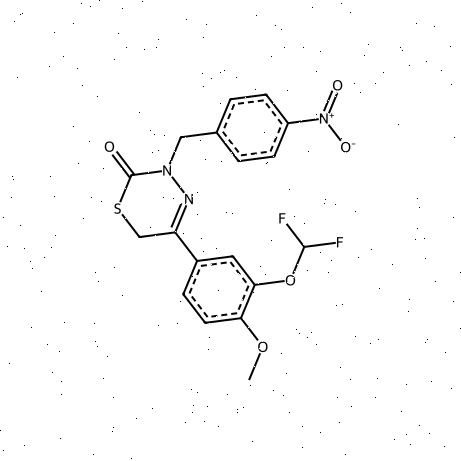 COc1ccc(C2=NN(Cc3ccc([N+](=O)[O-])cc3)C(=O)SC2)cc1OC(F)F